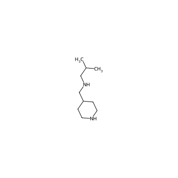 CC(C)CNCC1CCNCC1